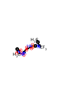 Cc1ccc(-c2cc(C(F)(F)F)nn2-c2ccc(S(=O)(=O)NC(=O)CCC(=O)OCC3CN(/[N+]([O-])=N\OC(C)N4C(=O)c5ccccc5C4=O)C3)cc2)cc1